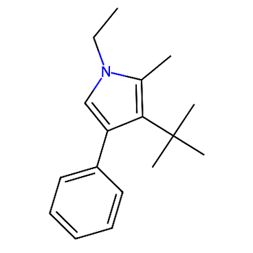 CCn1cc(-c2ccccc2)c(C(C)(C)C)c1C